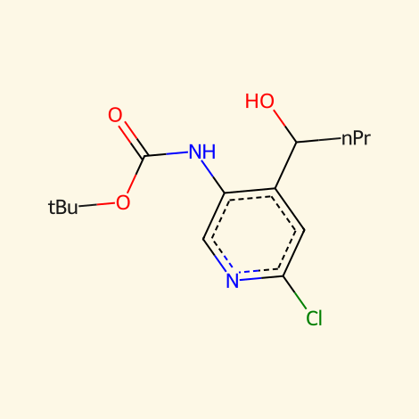 CCCC(O)c1cc(Cl)ncc1NC(=O)OC(C)(C)C